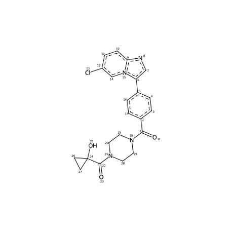 O=C(c1ccc(-c2cnc3ccc(Cl)cn23)cc1)N1CCN(C(=O)C2(O)CC2)CC1